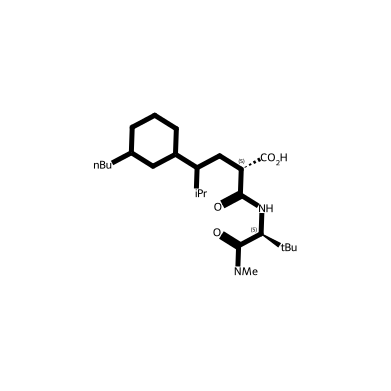 CCCCC1CCCC(C(C[C@H](C(=O)O)C(=O)N[C@H](C(=O)NC)C(C)(C)C)C(C)C)C1